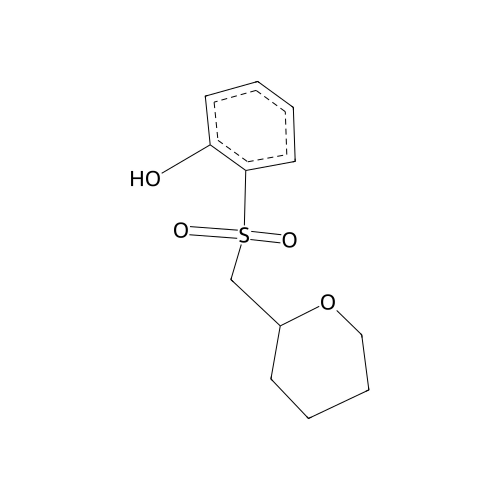 O=S(=O)(CC1CCCCO1)c1ccccc1O